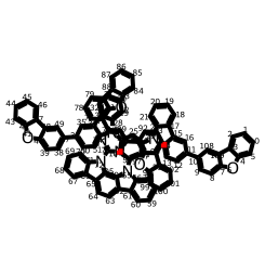 c1ccc2c(c1)oc1ccc(-c3ccc4c(c3)c3ccccc3n4-c3cc(-n4c5ccccc5c5cc(-c6ccc7oc8ccccc8c7c6)ccc54)cc(-n4c5ccccc5c5ccc6c7ccccc7n(-c7nc(-c8cccc9c8oc8ccccc89)cc(-c8cccc9c8oc8ccccc89)n7)c6c54)c3)cc12